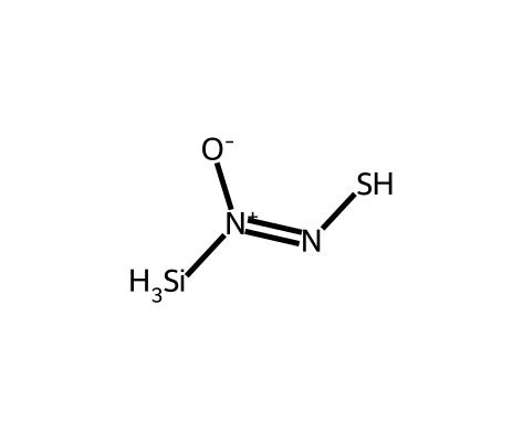 [O-]/[N+]([SiH3])=N\S